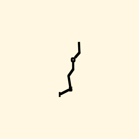 CCOCCSI